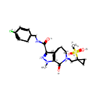 Cn1nc(C(=O)NCc2ccc(Cl)cc2)c2c1C(=O)N(CC1(S(C)(=O)=O)CC1)CC2